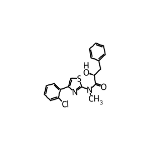 CN(C(=O)[C@@H](O)Cc1ccccc1)c1nc(-c2ccccc2Cl)cs1